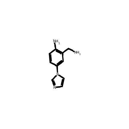 NCc1cc(-n2ccnc2)ccc1N